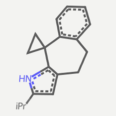 CC(C)c1cc2c([nH]1)C1(CC1)c1ccccc1CC2